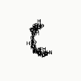 CNc1cc(-c2ccc3cc(C#N)cnn23)ncc1-c1nnc(C2CCC(NC(=O)CCOCCNc3cccc4c3C(=O)N(C3CCC(=O)NC3=O)C4=O)CC2)s1